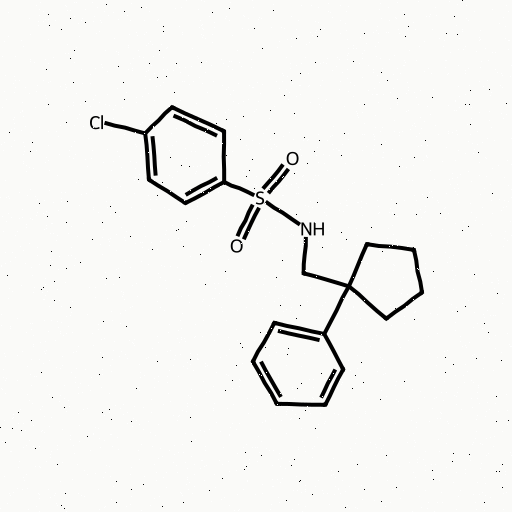 O=S(=O)(NCC1(c2ccccc2)CCCC1)c1ccc(Cl)cc1